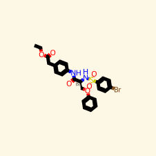 CCOC(=O)Cc1ccc(NC(=O)[C@H](COc2ccccc2)NS(=O)(=O)c2ccc(Br)cc2)cc1